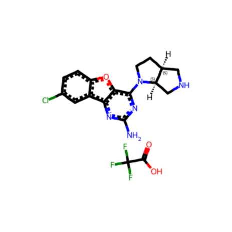 Nc1nc(N2CC[C@H]3CNC[C@H]32)c2oc3ccc(Cl)cc3c2n1.O=C(O)C(F)(F)F